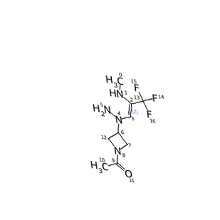 CN/C(=C\N(N)C1CN(C(C)=O)C1)C(F)(F)F